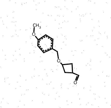 COc1ccc(COC2CC(C=O)C2)cc1